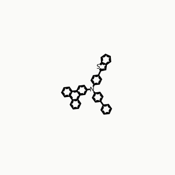 c1ccc(-c2ccc(N(c3ccc(-c4cc5ccccc5s4)cc3)c3ccc4c5ccccc5c5ccccc5c4c3)cc2)cc1